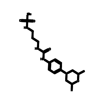 CC1CN(c2ccc(NC(=O)NCCCNS(=O)(=O)C(C)(C)C)cc2)CC(C)O1